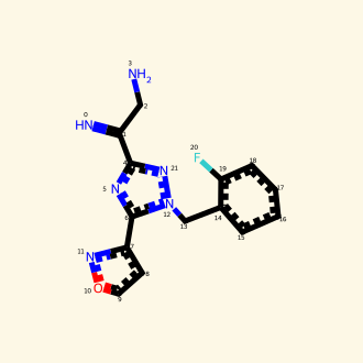 N=C(CN)c1nc(-c2ccon2)n(Cc2ccccc2F)n1